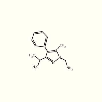 CC(C)C1=NN(CN)S(C)=C1c1ccccc1